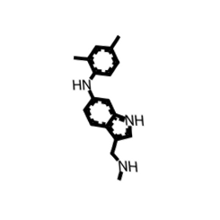 CNCc1c[nH]c2cc(Nc3ccc(C)cc3C)ccc12